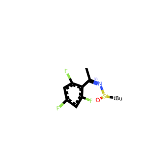 C/C(=N/[S+]([O-])C(C)(C)C)c1c(F)cc(F)cc1F